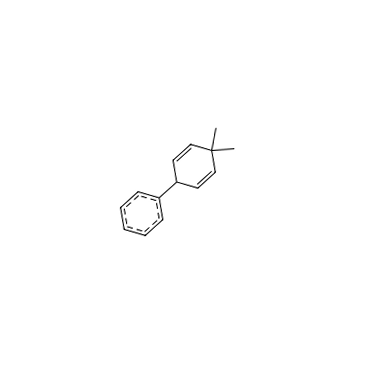 CC1(C)C=CC(c2ccccc2)C=C1